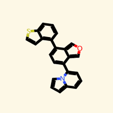 c1cc(-c2ccc(-c3cccc4cccn34)c3cocc23)c2ccsc2c1